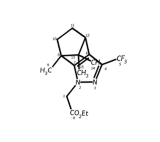 CCOC(=O)Cn1nc(C(F)(F)F)c2c1C1(C)CCC2C1(C)C